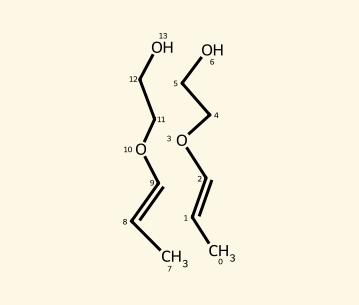 CC=COCCO.CC=COCCO